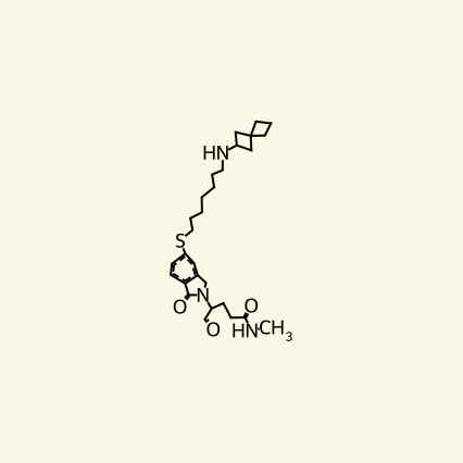 CNC(=O)CCC(C=O)N1Cc2cc(SCCCCCCCNC3CC4(CCC4)C3)ccc2C1=O